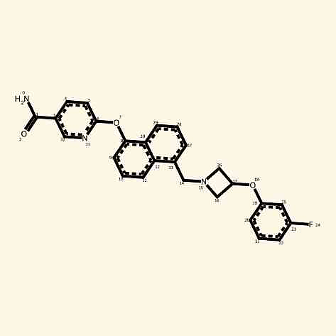 NC(=O)c1ccc(Oc2cccc3c(CN4CC(Oc5cccc(F)c5)C4)cccc23)nc1